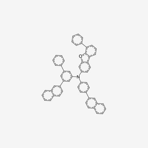 c1ccc(-c2cc(-c3ccc4ccccc4c3)cc(N(c3ccc(-c4ccc5ccccc5c4)cc3)c3ccc4c(c3)oc3c(-c5ccccc5)cccc34)c2)cc1